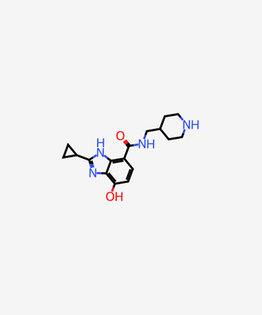 O=C(NCC1CCNCC1)c1ccc(O)c2nc(C3CC3)[nH]c12